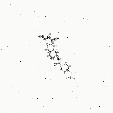 CC(C)CN1CCC(C(=O)Nc2cc3cc(C(=N)N(C)N=N)ccc3cn2)CC1